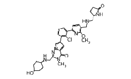 COc1nc(-c2cccc(-c3cc4c(=O)n(C)c(CNC5CCC(O)CC5)nn4c3)c2Cl)ccc1CNC[C@@H]1CCC(=O)N1